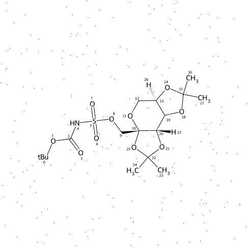 CC(C)(C)OC(=O)NS(=O)(=O)OC[C@@]12OC[C@H]3OC(C)(C)OC3[C@@H]1OC(C)(C)O2